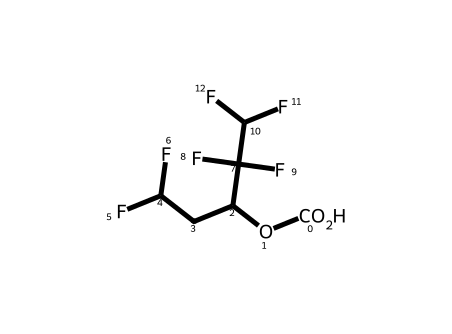 O=C(O)OC(CC(F)F)C(F)(F)C(F)F